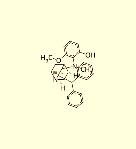 COc1cccc(O)c1N(C)[C@@H]1C2CCN(CC2)[C@@H]1C(c1ccccc1)c1ccccc1